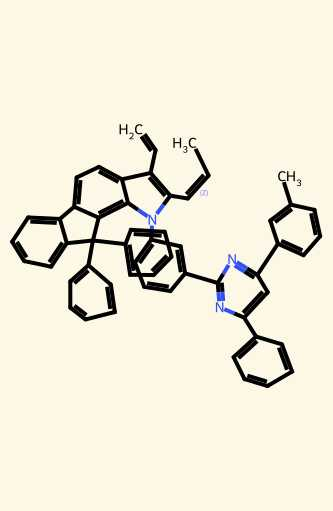 C=Cc1c(/C=C\C)n(-c2cccc(-c3nc(-c4ccccc4)cc(-c4cccc(C)c4)n3)c2)c2c3c(ccc12)-c1ccccc1C3(c1ccccc1)c1ccccc1